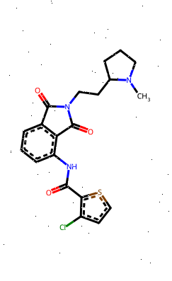 CN1CCCC1CCN1C(=O)c2cccc(NC(=O)c3sccc3Cl)c2C1=O